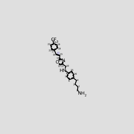 NCCCCc1ccc(NCc2coc(/C=C/c3ccc(C(F)(F)F)cc3)n2)cc1